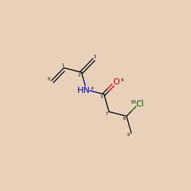 C=CC(=C)NC(=O)CC(C)Cl